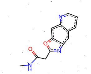 CNC(=O)Cc1nc2cc3cccnc3cc2o1